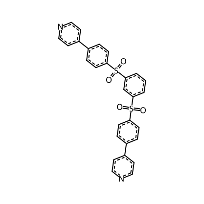 O=S(=O)(c1ccc(-c2ccncc2)cc1)c1cccc(S(=O)(=O)c2ccc(-c3ccncc3)cc2)c1